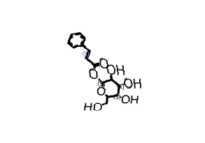 O=C(/C=C/c1ccccc1)O[C@@H]1OC(CO)[C@@H](O)[C@@H](O)C1O